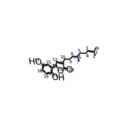 CC(C)=CCC/C(C)=C/CCC1=C[C@@H](c2cc(O)ccc2O)OC1=O